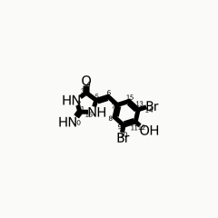 N=C1NC(=O)/C(=C/c2cc(Br)c(O)c(Br)c2)N1